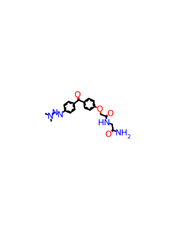 CN(C)/N=N/c1ccc(C(=O)c2ccc(OCC(=O)NCC(N)=O)cc2)cc1